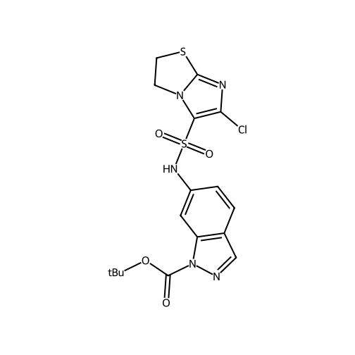 CC(C)(C)OC(=O)n1ncc2ccc(NS(=O)(=O)c3c(Cl)nc4n3CCS4)cc21